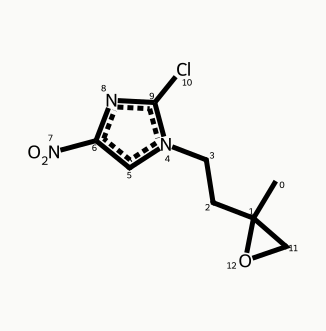 CC1(CCn2cc([N+](=O)[O-])nc2Cl)CO1